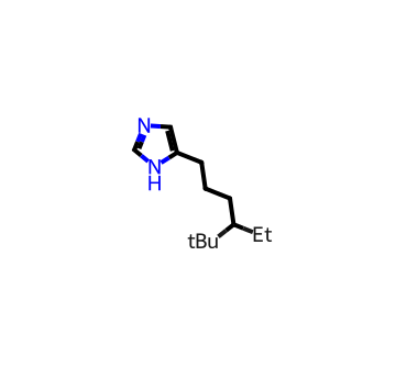 CCC(CCCc1cnc[nH]1)C(C)(C)C